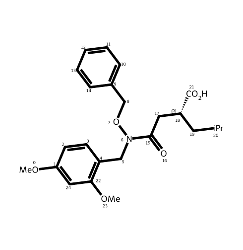 COc1ccc(CN(OCc2ccccc2)C(=O)C[C@@H](CC(C)C)C(=O)O)c(OC)c1